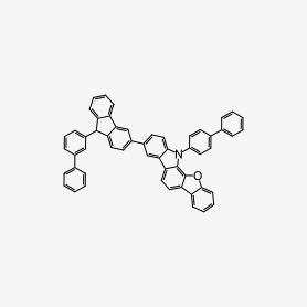 c1ccc(-c2ccc(-n3c4ccc(-c5ccc6c(c5)-c5ccccc5C6c5cccc(-c6ccccc6)c5)cc4c4ccc5c6ccccc6oc5c43)cc2)cc1